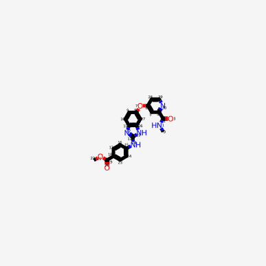 CNC(=O)c1cc(Oc2ccc3nc(Nc4ccc(C(=O)OC)cc4)[nH]c3c2)ccn1